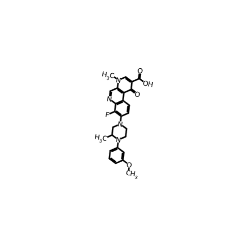 COc1cccc(N2CCN(c3ccc4c(ncc5c4c(=O)c(C(=O)O)cn5C)c3F)CC2C)c1